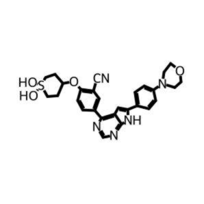 N#Cc1cc(-c2ncnc3[nH]c(-c4ccc(N5CCOCC5)cc4)cc23)ccc1OC1CCS(O)(O)CC1